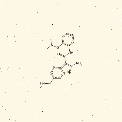 CNCc1cnc2c(C(=O)Nc3cnccc3OC(C)C)c(N)nn2c1